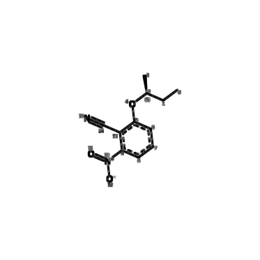 CC[C@H](C)Oc1cccc([N+](=O)[O-])c1C#N